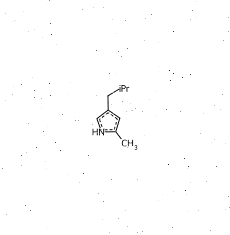 Cc1cc(CC(C)C)c[nH]1